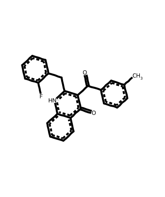 Cc1cccc(C(=O)c2c(Cc3ccccc3F)[nH]c3ccccc3c2=O)c1